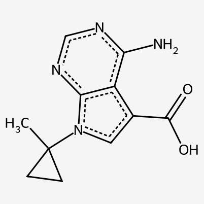 CC1(n2cc(C(=O)O)c3c(N)ncnc32)CC1